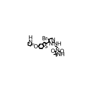 CC1(C)NC(=O)N(CCNc2ncc(Br)c(-c3cc4cc(OC[C@@H]5CCCN5)ccc4s3)n2)C1=O